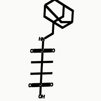 CC(C)(C(C)(C)S(=O)(=O)NCC12CC3CC(CC(C3)C1)C2)S(=O)(=O)O